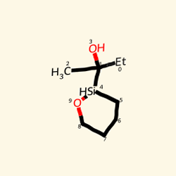 CCC(C)(O)[SiH]1CCCCO1